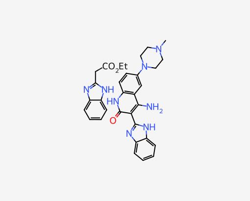 CCOC(=O)Cc1nc2ccccc2[nH]1.CN1CCN(c2ccc3[nH]c(=O)c(-c4nc5ccccc5[nH]4)c(N)c3c2)CC1